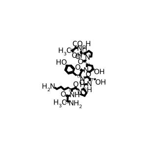 C[C@H](N)C(=O)N[C@@H](CCCCN)C(=O)N1CCC[C@H]1C(=O)N[C@@H](CO)C(=O)N[C@@H](Cc1ccc(O)cc1)C(=O)N1C[C@H](O)C[C@H]1C(=O)N1CCC[C@H]1C(=O)N[C@H](C(=O)O)[C@@H](C)O